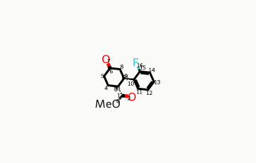 COC(=O)[C@@H]1CCC(=O)C[C@H]1c1ccccc1F